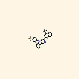 CC(C)(C)c1cc(-c2cc3c(cn2)c2cccc4c5cc(S(C)(C)C)ccc5n3c42)cc2ccccc12